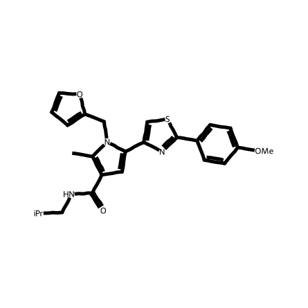 COc1ccc(-c2nc(-c3cc(C(=O)NCC(C)C)c(C)n3Cc3ccco3)cs2)cc1